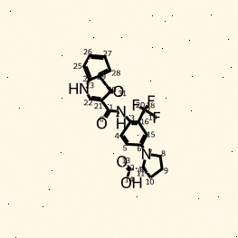 O=C(Nc1ccc(N2CCC[C@@H]2C(=O)O)cc1C(F)(F)F)c1c[nH]c2ccccc2c1=O